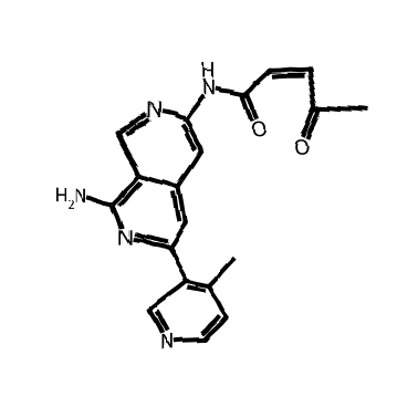 CC(=O)/C=C\C(=O)Nc1cc2cc(-c3cnccc3C)nc(N)c2cn1